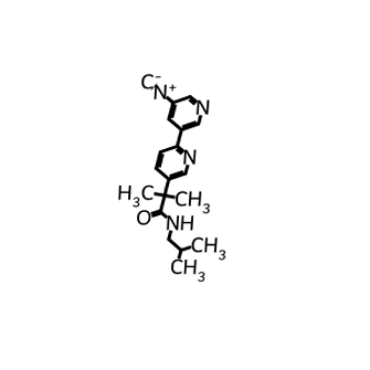 [C-]#[N+]c1cncc(-c2ccc(C(C)(C)C(=O)NCC(C)C)cn2)c1